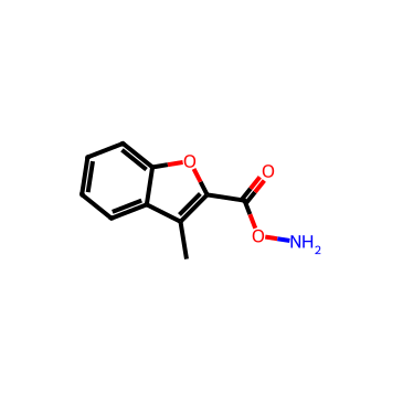 Cc1c(C(=O)ON)oc2ccccc12